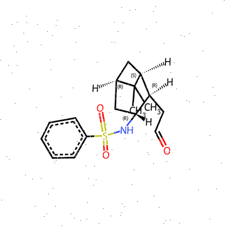 CC1(C)[C@H]2C[C@@H](NS(=O)(=O)c3ccccc3)[C@H](CC=O)[C@@H]1C2